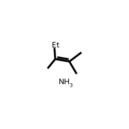 CCC(C)=C(C)C.N